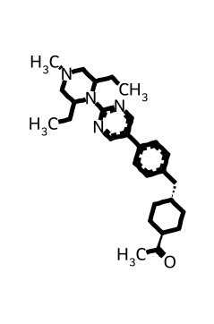 CCC1CN(C)CC(CC)N1c1ncc(-c2ccc(C[C@H]3CC[C@H](C(C)=O)CC3)cc2)cn1